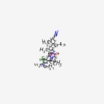 Cc1cc(-c2c(C)cc(C#N)cc2C)cc(CNC(=O)C(CC(C)C)n2cc(CCN(C)C)c(C(F)(F)F)cc2=O)c1F